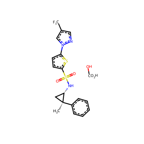 C[C@]1(c2ccccc2)C[C@@H]1NS(=O)(=O)c1ccc(-n2cc(C(F)(F)F)cn2)s1.O=C(O)O